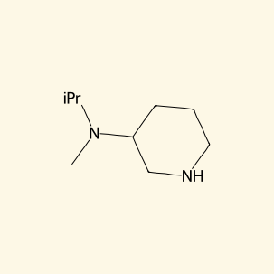 CC(C)N(C)C1CCCNC1